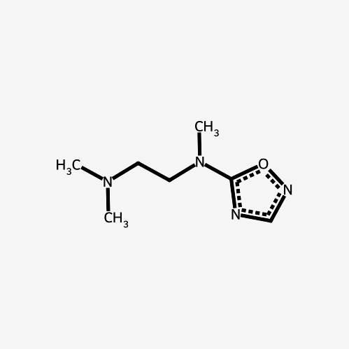 CN(C)CCN(C)c1ncno1